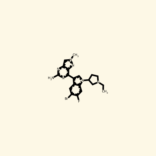 CCN1CCC(n2cc(-c3nc(N)nc4cn(C)nc34)c3cc(Br)c(F)cc32)C1